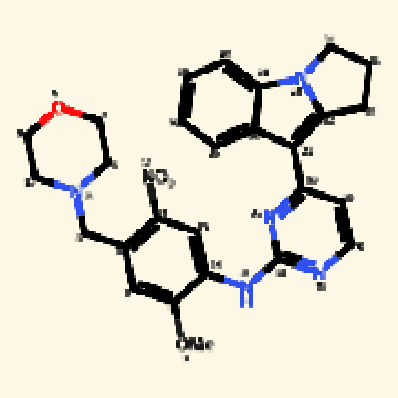 COc1cc(CN2CCOCC2)c([N+](=O)[O-])cc1Nc1nccc(-c2c3n(c4ccccc24)CCC3)n1